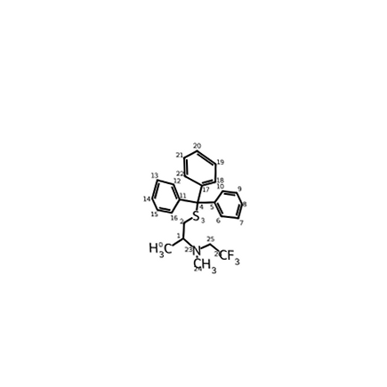 CC(CSC(c1ccccc1)(c1ccccc1)c1ccccc1)N(C)CC(F)(F)F